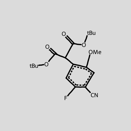 COc1cc(C#N)c(F)cc1C(C(=O)OC(C)(C)C)C(=O)OC(C)(C)C